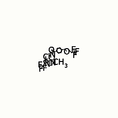 CN1CCn2c(C(F)(F)F)cc(Cl)c2C12CCN(C(=O)c1ccc(COCCC(F)(F)F)cc1)CC2